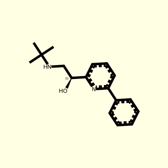 CC(C)(C)NC[C@H](O)c1cccc(-c2ccccc2)n1